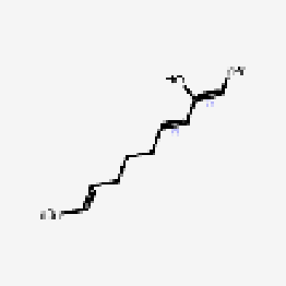 CCC/C=C(O)/C=C/CCCC=CCCCC